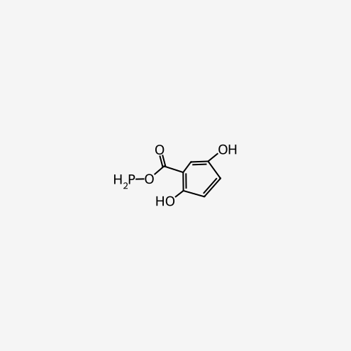 O=C(OP)c1cc(O)ccc1O